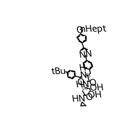 CCCCCCCOc1ccc(-c2cnc(-c3ccc(C[C@H](NC(=O)c4ccc(C(C)(C)C)cc4)C(=O)N[C@@H](CC(=O)NC4CC4)C(O)O)cc3)nc2)cc1